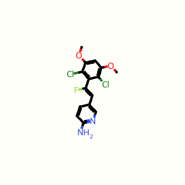 COc1cc(OC)c(Cl)c(/C(F)=C/c2ccc(N)nc2)c1Cl